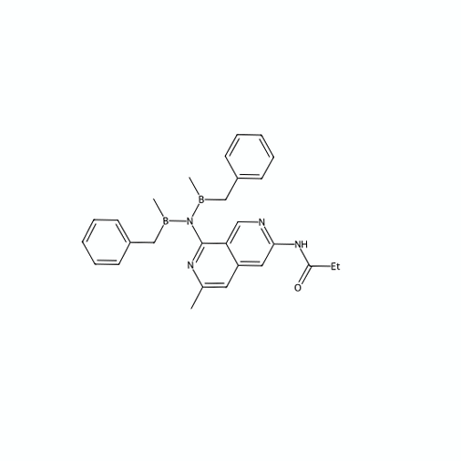 CCC(=O)Nc1cc2cc(C)nc(N(B(C)Cc3ccccc3)B(C)Cc3ccccc3)c2cn1